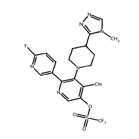 Cn1cnnc1C1CCN(c2c(-c3ccc(F)nc3)ncc(OS(=O)(=O)C(F)(F)F)c2C#N)CC1